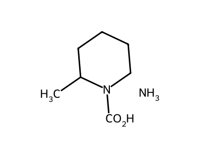 CC1CCCCN1C(=O)O.N